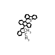 CCC1C=CC=CC1/C=C(\C)c1c2ccccc2c(-c2cccc3c2sc2ccccc23)c2ccccc12